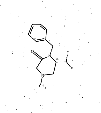 CN1CC(=O)N(Cc2ccccc2)[C@H](C(F)F)C1